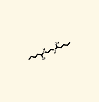 CCCCC(O)NCCNC(O)CCCC